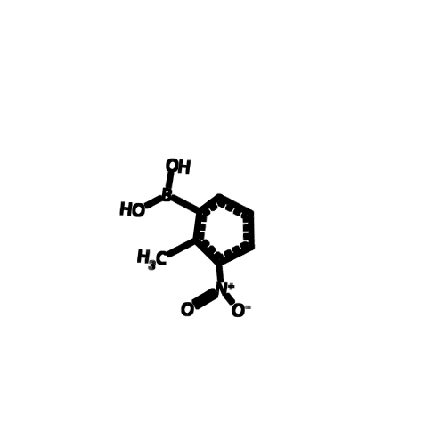 Cc1c(B(O)O)cccc1[N+](=O)[O-]